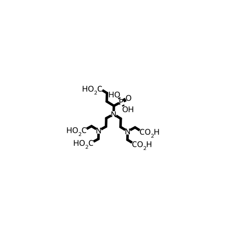 O=C(O)CCC(N(CCN(CC(=O)O)CC(=O)O)CCN(CC(=O)O)CC(=O)O)P(=O)(O)O